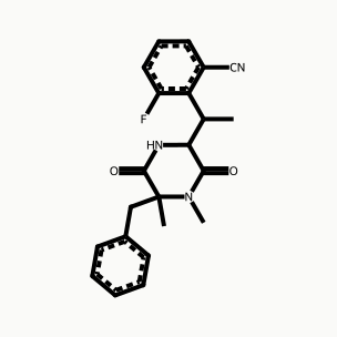 CC(c1c(F)cccc1C#N)C1NC(=O)C(C)(Cc2ccccc2)N(C)C1=O